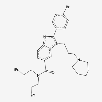 CC(C)CCN(CCC(C)C)C(=O)c1ccc2nc(-c3ccc(Br)cc3)n(CCCN3CCCCC3)c2c1